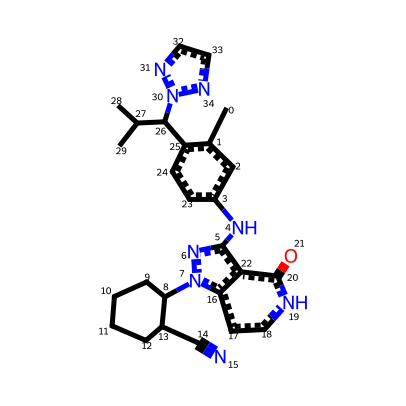 Cc1cc(Nc2nn(C3CCCCC3C#N)c3cc[nH]c(=O)c23)ccc1C(C(C)C)n1nccn1